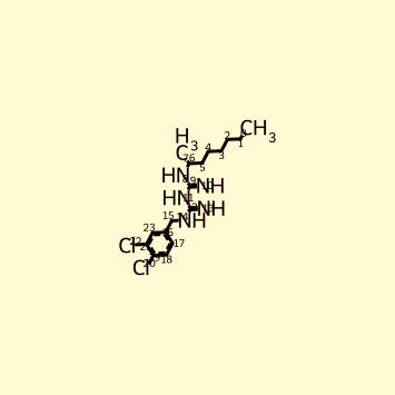 CCCCCCC(C)NC(=N)NC(=N)NCc1ccc(Cl)c(Cl)c1